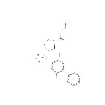 CCOC(=O)N1CC[C@@H](NS(C)(=O)=O)[C@H]1Cc1ccc(F)c(-c2ccccc2)c1